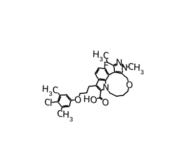 CCc1nn(C)c2c1-c1c(F)ccc3c(CCCOc4cc(C)c(Cl)c(C)c4)c(C(=O)O)n(c13)CCCCOC2